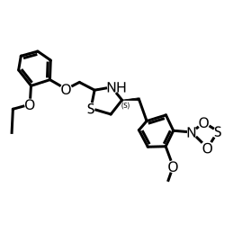 CCOc1ccccc1OCC1N[C@@H](Cc2ccc(OC)c(N3OSO3)c2)CS1